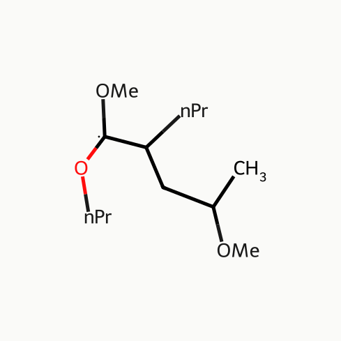 CCCO[C](OC)C(CCC)CC(C)OC